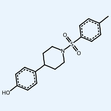 Cc1ccc(S(=O)(=O)N2CCC(c3ccc(O)cc3)CC2)cc1